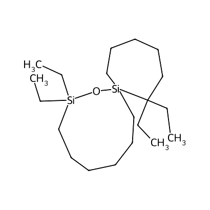 CCC1(CC)CCCCC[Si]12CCCCCC[Si](CC)(CC)O2